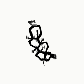 C[C@]12CC[C@@H](O)C[C@H]1CC[C@@H]1[C@@H]2CC[C@@]23C=CC(=O)C[C@H]2CC[C@@H]13